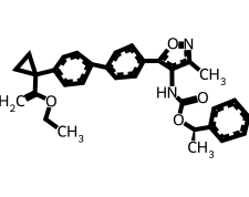 C=C(OCC)C1(c2ccc(-c3ccc(-c4onc(C)c4NC(=O)O[C@H](C)c4ccccc4)cc3)cc2)CC1